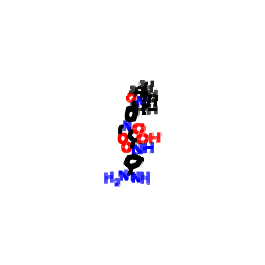 [2H]C([2H])([2H])N(C(=O)c1ccc(N2CCO[C@H]([C@@H](O)C(=O)Nc3ccc(C(=N)N)cc3)C2=O)cc1)C([2H])([2H])[2H]